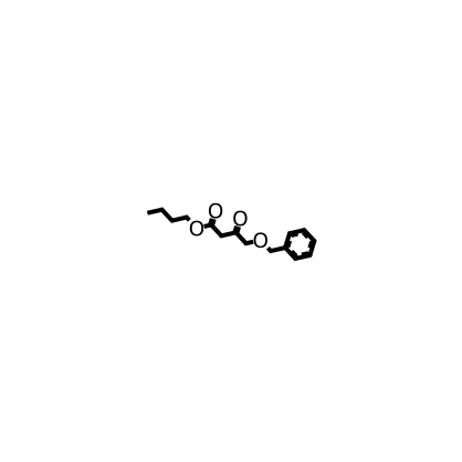 CCCCOC(=O)CC(=O)COCc1ccccc1